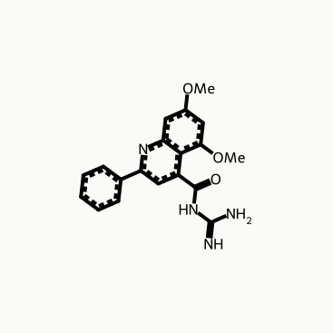 COc1cc(OC)c2c(C(=O)NC(=N)N)cc(-c3ccccc3)nc2c1